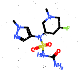 CN1C[C@@H](F)C[C@H](N(c2cnn(C)c2)S(=O)(=O)NC(N)=O)C1